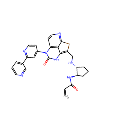 C=CC(=O)N[C@@H]1CCC[C@H]1NCc1sc2nccc3c2c1NC(=O)N3c1ccnc(-c2cccnc2)c1